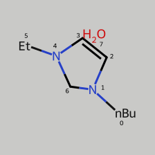 CCCCN1C=CN(CC)C1.O